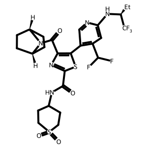 CC[C@H](Nc1cc(C(F)F)c(-c2sc(C(=O)NC3CCS(=O)(=O)CC3)nc2C(=O)N2[C@H]3CC[C@@H]2CC3)cn1)C(F)(F)F